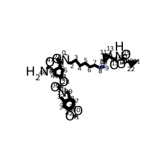 CN(CCCCCC/C=C\[C@@H]1C[C@]1(C)C(=O)NS(=O)(=O)C1CC1)C(=O)C1C[C@H](OC(=O)N2Cc3cc4c(cc3C2)OCO4)C[C@H]1C(N)=O